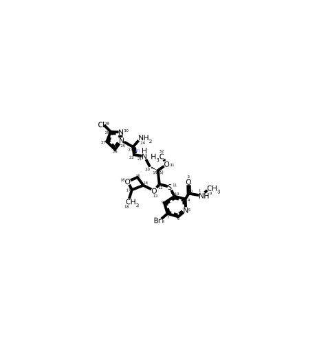 CNC(=O)c1ncc(Br)cc1SC(OC1COC1C)[C@H](CN/C=C(\N)n1ccc(Cl)n1)OC